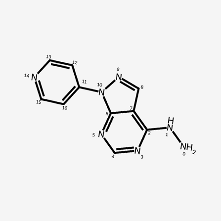 NNc1ncnc2c1cnn2-c1ccncc1